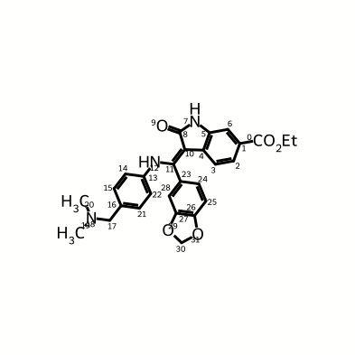 CCOC(=O)c1ccc2c(c1)NC(=O)/C2=C(\Nc1ccc(CN(C)C)cc1)c1ccc2c(c1)OCO2